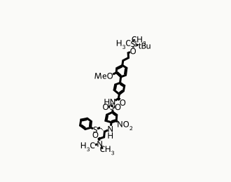 COc1cc(CCCO[Si](C)(C)C(C)(C)C)ccc1-c1ccc(C(=O)NS(=O)(=O)c2ccc(N[C@@H](CSc3ccccc3)CC(=O)N(C)C)c([N+](=O)[O-])c2)cc1